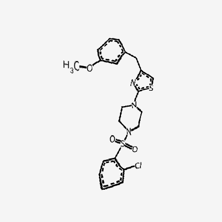 COc1cccc(Cc2csc(N3CCN(S(=O)(=O)c4ccccc4Cl)CC3)n2)c1